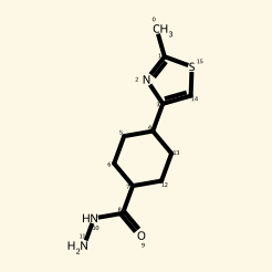 Cc1nc(C2CCC(C(=O)NN)CC2)cs1